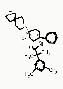 CC(C)(C(=O)N[C@]1(c2ccccc2)CC[C@@H](N2CCC3(CCOC3)CC2)[C@@H](F)C1)c1cc(C(F)(F)F)cc(C(F)(F)F)c1